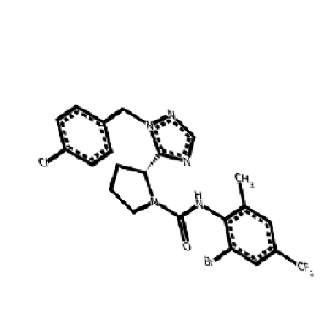 Cc1cc(C(F)(F)F)cc(Br)c1NC(=O)N1CCC[C@@H]1c1ncnn1Cc1ccc(Cl)cc1